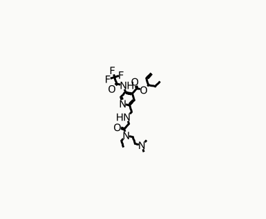 C=CC(CC)OC(=O)c1cc(CNCC(=O)N(CC)CCN(C)C)ncc1NC(=O)C(F)(F)F